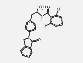 O=C(N[C@@H](Cc1ccc(N2Cc3ccccc3C2=O)cc1)C(=O)O)c1c(Cl)cccc1Cl